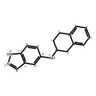 c1ccc2c(c1)CCC(Nc1ccc3[nH]ncc3c1)C2